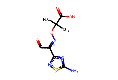 CC(C)(O/N=C(\C=O)c1nsc(N)n1)C(=O)O